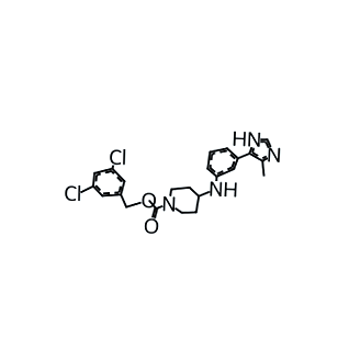 Cc1nc[nH]c1-c1cccc(NC2CCN(C(=O)OCc3cc(Cl)cc(Cl)c3)CC2)c1